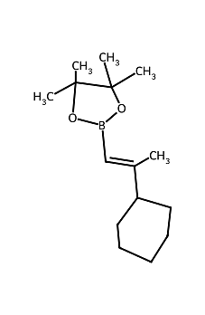 CC(=CB1OC(C)(C)C(C)(C)O1)C1CCCCC1